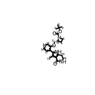 CC(C)(C)OC(=O)N1CC[C@@H]1COc1cnccc1-c1[nH]c2c(c1I)C(=O)NCC2